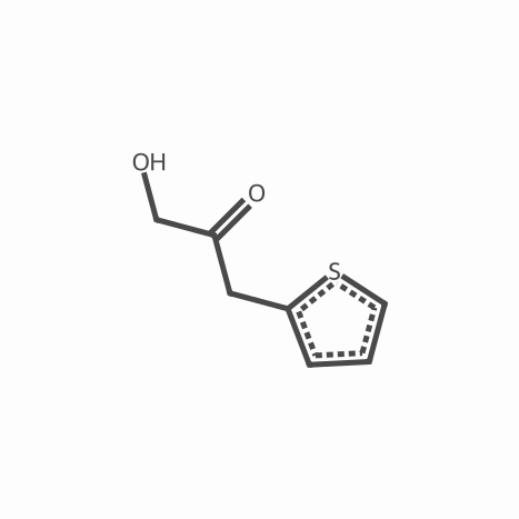 O=C(CO)Cc1cccs1